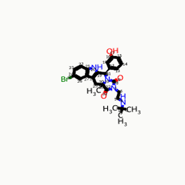 CC(C)(C)NCCN1C(=O)N2[C@H](c3cccc(O)c3)c3[nH]c4ccc(Br)cc4c3C[C@@]2(C)C1=O